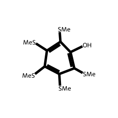 CSc1c(O)c(SC)c(SC)c(SC)c1SC